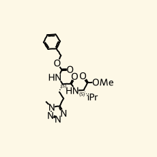 COC(=O)[C@@H](NC(=O)[C@H](CCc1nnnn1C)NC(=O)OCc1ccccc1)C(C)C